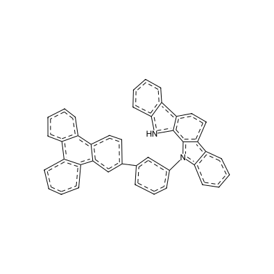 c1cc(-c2ccc3c4ccccc4c4ccccc4c3c2)cc(-n2c3ccccc3c3ccc4c5ccccc5[nH]c4c32)c1